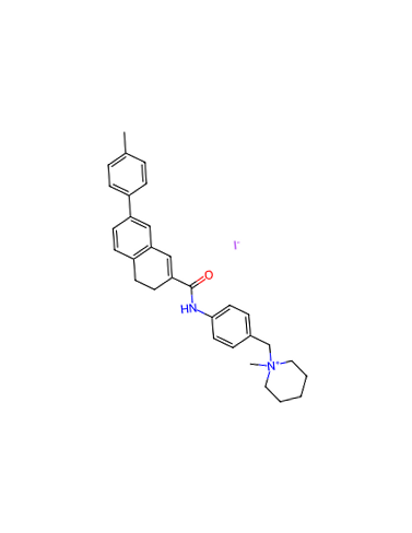 Cc1ccc(-c2ccc3c(c2)C=C(C(=O)Nc2ccc(C[N+]4(C)CCCCC4)cc2)CC3)cc1.[I-]